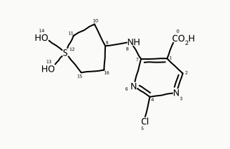 O=C(O)c1cnc(Cl)nc1NC1CCS(O)(O)CC1